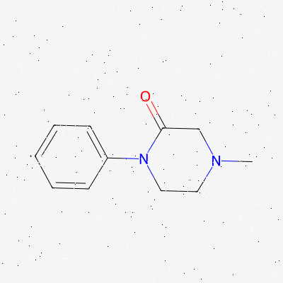 CN1CCN(c2cc[c]cc2)C(=O)C1